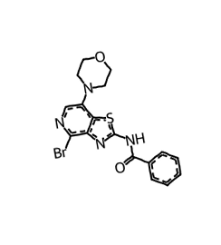 O=C(Nc1nc2c(Br)ncc(N3CCOCC3)c2s1)c1ccccc1